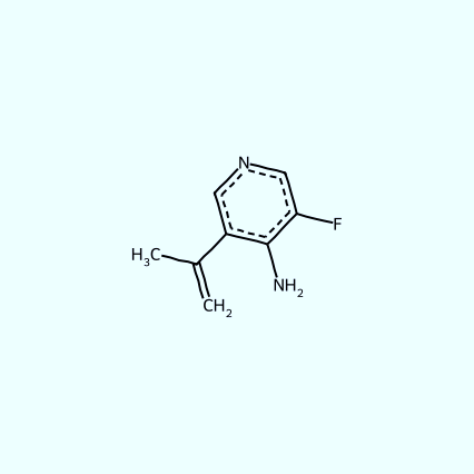 C=C(C)c1cncc(F)c1N